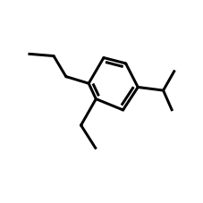 CCCc1ccc(C(C)C)cc1CC